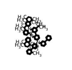 Cc1ccccc1-c1ccc(N(c2cccc(-c3ccccc3)c2)c2ccc3c(c2)N(c2ccc4c(c2)C(C)(C)CCC4(C)C)B2c4cccc5c4N(c4cc6c(cc4C5(C)C)C(C)(C)CCC6(C)C)c4cc(C(C)C)cc-3c42)cc1